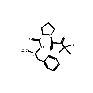 CCOC(=O)[C@H](Cc1ccccc1)NC(=O)[C@@H]1CCCN1C(=O)C(=O)C(C)(C)CC